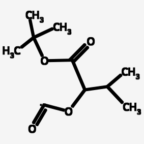 CC(C)C(O[C]=O)C(=O)OC(C)(C)C